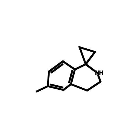 Cc1ccc2c(c1)CCNC21CC1